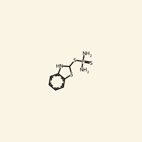 NP(N)(=S)SC1Nc2ccccc2S1